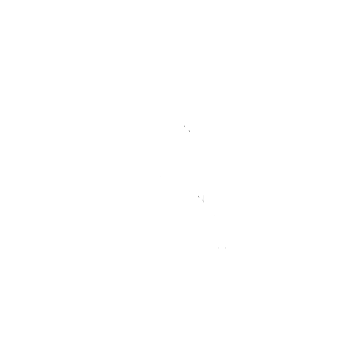 CCCCCC[N+](CCCC)(CCCC)CCC(=O)NC(=O)C=O